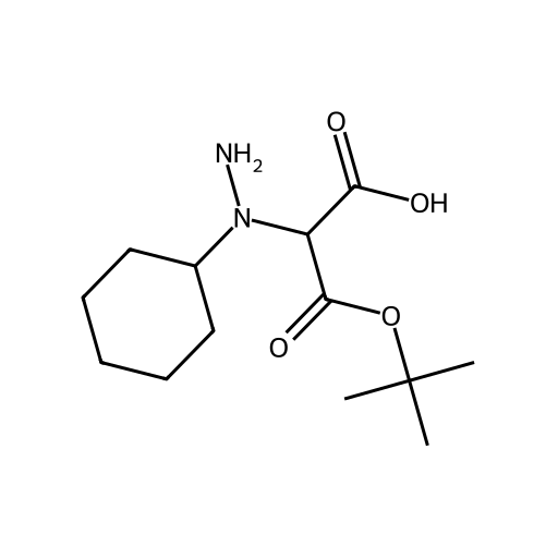 CC(C)(C)OC(=O)C(C(=O)O)N(N)C1CCCCC1